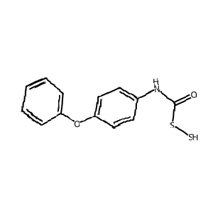 O=C(Nc1ccc(Oc2ccccc2)cc1)SS